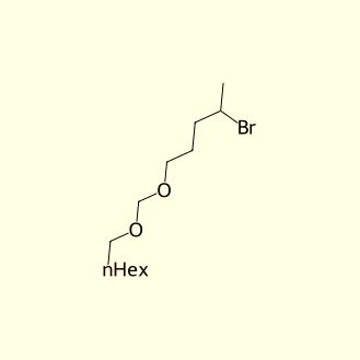 CCCCCCCOCOCCCC(C)Br